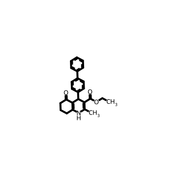 CCOC(=O)C1=C(C)NC2=C(C(=O)CCC2)C1c1ccc(-c2ccccc2)cc1